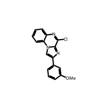 COc1cccc(-c2cn3c(n2)c(Cl)nc2ccccc23)c1